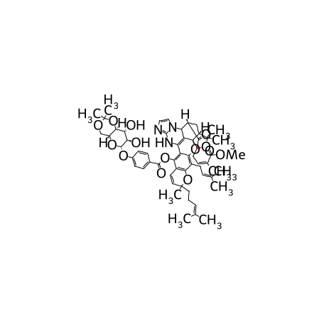 COC(=O)/C(C)=C\CC12OC(C)(C)[C@H]3C[C@H](C1=O)C1C4=C(Nc5nccn51)c1c(OC(=O)c5ccc(O[C@@H]6O[C@@H]7COC(C)(C)O[C@H]7[C@H](O)[C@H]6O)cc5)c5c(c(CC=C(C)C)c1OC432)OC(C)(CCC=C(C)C)C=C5